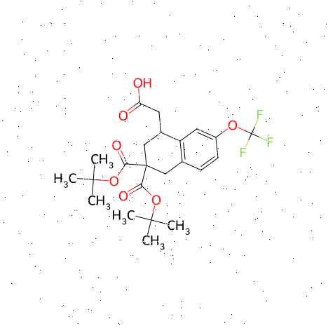 CC(C)(C)OC(=O)C1(C(=O)OC(C)(C)C)Cc2ccc(OC(F)(F)F)cc2C(CC(=O)O)C1